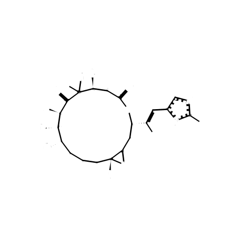 C/C(=C\c1csc(C)n1)[C@@H]1CC2O[C@@H]2CCC[C@H](C)[C@H](O)[C@@H](C)C(=O)C(C)(C)[C@@H](O)CC(=O)O1